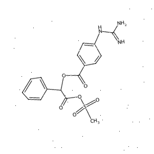 CS(=O)(=O)OC(=O)C(OC(=O)c1ccc(NC(=N)N)cc1)c1ccccc1